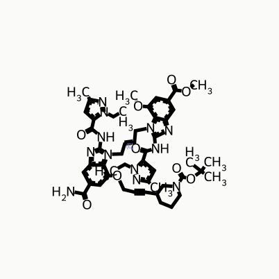 CCn1nc(C)cc1C(=O)Nc1nc2cc(C(=O)OC)cc(OC)c2n1C/C=C/Cn1c(NC(=O)c2cc(C)nn2CC)nc2cc(C(N)=O)cc(OCC#CC3CCCN(C(=O)OC(C)(C)C)C3)c21